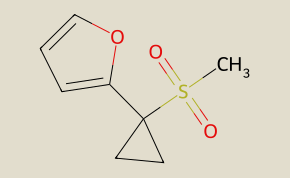 CS(=O)(=O)C1(c2ccco2)CC1